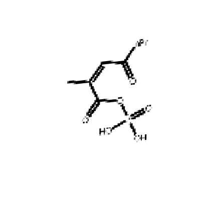 CCCC(=O)C=C(C)C(=O)OP(=O)(O)O